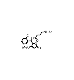 COC1=CC(=O)OC1C(OC(=O)CCCNC(C)=O)c1ccccc1Cl